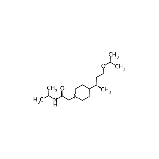 CC(C)NC(=O)CN1CCC([C@H](C)CCOC(C)C)CC1